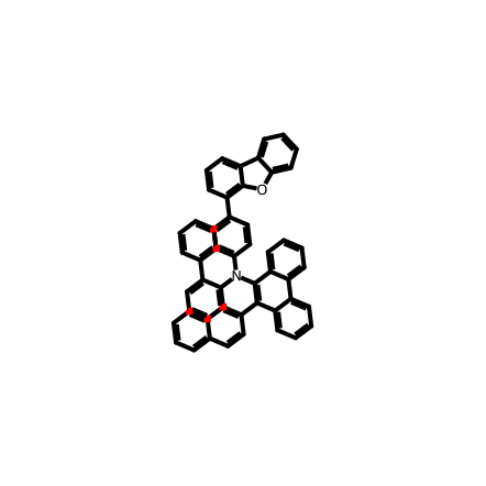 c1ccc(-c2ccccc2N(c2ccc(-c3cccc4c3oc3ccccc34)cc2)c2c(-c3ccc4ccccc4c3)c3ccccc3c3ccccc23)cc1